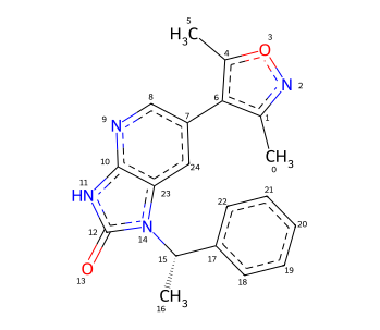 Cc1noc(C)c1-c1cnc2[nH]c(=O)n([C@@H](C)c3ccccc3)c2c1